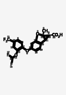 C[C@@]12Oc3cc(Oc4ccc(C(F)(F)F)cc4OC(F)F)ccc3C1[C@H]2C(=O)O